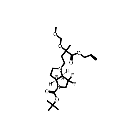 C=CCOC(=O)C(C)(CCN1CC[C@H]2[C@@H]1C(F)(F)CN2C(=O)OC(C)(C)C)OCOC